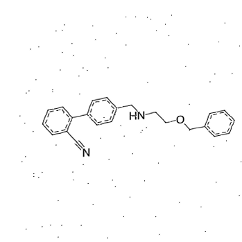 N#Cc1ccccc1-c1ccc(CNCCOCc2ccccc2)cc1